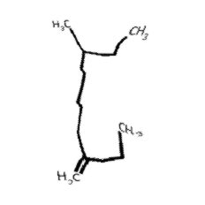 C=C(CC)CCCC(C)CC